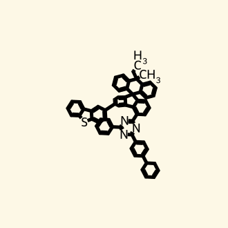 CCC1(C)c2ccccc2C2(c3ccc(-c4ccc5sc6ccccc6c5c4)cc3-c3c(-c4nc(-c5ccccc5)nc(-c5ccc(C6C=CC=CC6)cc5)n4)cccc32)c2ccccc21